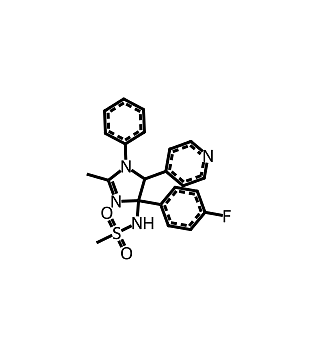 CC1=NC(NS(C)(=O)=O)(c2ccc(F)cc2)C(c2ccncc2)N1c1ccccc1